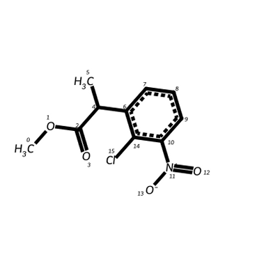 COC(=O)C(C)c1cccc([N+](=O)[O-])c1Cl